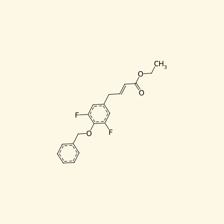 CCOC(=O)C=CCc1cc(F)c(OCc2ccccc2)c(F)c1